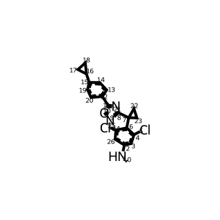 CNc1cc(Cl)c(C2(c3noc(-c4ccc(C5CC5)cc4)n3)CC2)c(Cl)c1